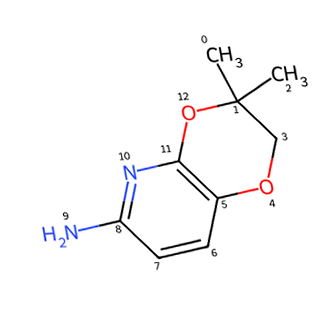 CC1(C)COc2ccc(N)nc2O1